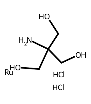 Cl.Cl.NC(CO)(CO)CO.[Ru]